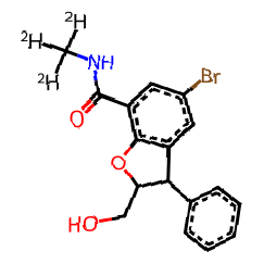 [2H]C([2H])([2H])NC(=O)c1cc(Br)cc2c1OC(CO)C2c1ccccc1